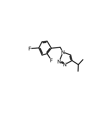 CC(C)c1cn(Cc2ccc(F)cc2F)nn1